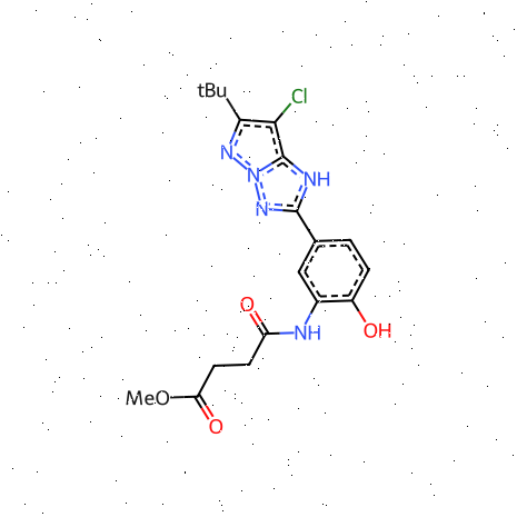 COC(=O)CCC(=O)Nc1cc(-c2nn3nc(C(C)(C)C)c(Cl)c3[nH]2)ccc1O